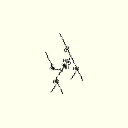 CCCCCCCCCCCOC(=O)CCCCCN(CCCCCCCC(=O)OC(CCCCCCCC)CCCCCCCC)CCNC(=O)CCC(=O)NCCN(CCCCCCC(C)(C)C(=O)OC(CCCCCCCC)CCCCCCCC)CCCCC(C)(C)C(=O)OCCCCCCCCCCC